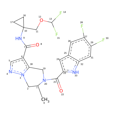 CC1Cn2ncc(C(=O)NC3(COC(F)F)CC3)c2CN1C(=O)c1cc2cc(F)c(F)cc2[nH]1